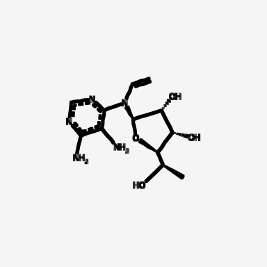 C=CN(c1ncnc(N)c1N)[C@@H]1O[C@H]([C@@H](C)O)[C@@H](O)[C@H]1O